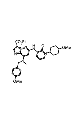 CCOC(=O)c1cnc2c(N(C)Cc3ccc(OC)cc3)cc(Nc3cccn(C4CCC(OC)CC4)c3=O)nn12